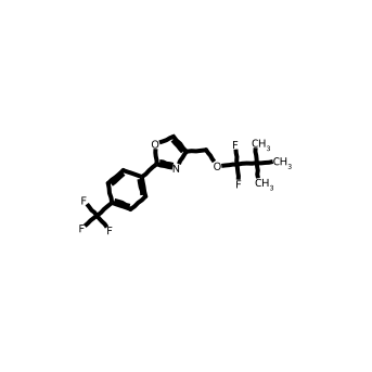 CC(C)(C)C(F)(F)OCc1coc(-c2ccc(C(F)(F)F)cc2)n1